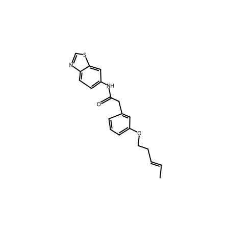 CC=CCCOc1cccc(CC(=O)Nc2ccc3ncsc3c2)c1